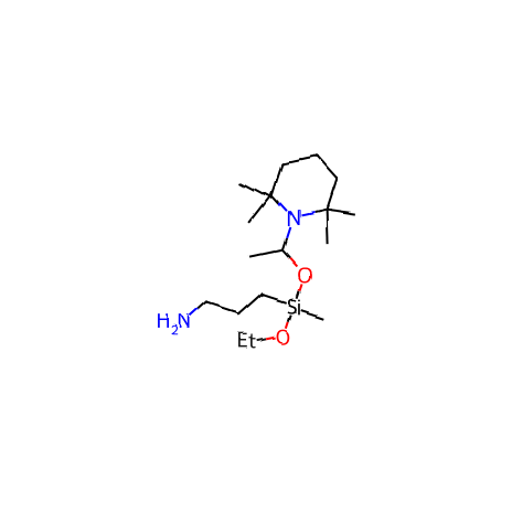 CCO[Si](C)(CCCN)OC(C)N1C(C)(C)CCCC1(C)C